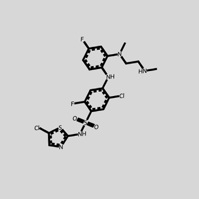 CNCCN(C)c1cc(F)ccc1Nc1cc(F)c(S(=O)(=O)Nc2ncc(Cl)s2)cc1Cl